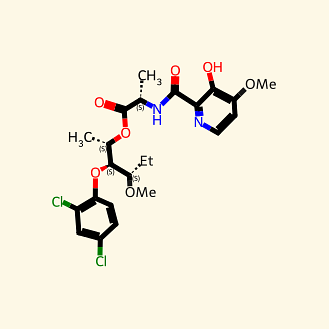 CC[C@H](OC)[C@@H](Oc1ccc(Cl)cc1Cl)[C@H](C)OC(=O)[C@H](C)NC(=O)c1nccc(OC)c1O